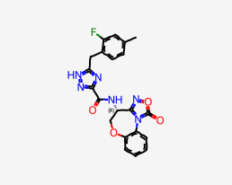 Cc1ccc(Cc2nc(C(=O)N[C@H]3COc4ccccc4-n4c3noc4=O)n[nH]2)c(F)c1